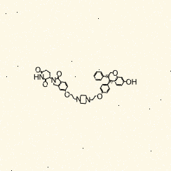 O=C1CCC(N2Cc3cc(OCCN4CCN(CCOc5ccc([C@@H]6c7ccc(O)cc7OC[C@@H]6c6ccccc6)cc5)CC4)ccc3C2=O)C(=O)N1